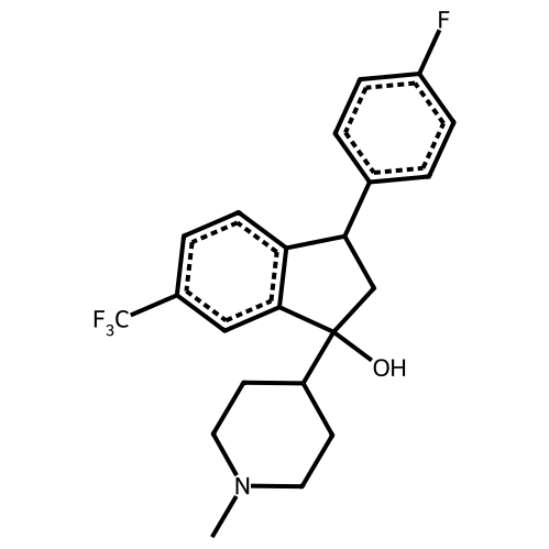 CN1CCC(C2(O)CC(c3ccc(F)cc3)c3ccc(C(F)(F)F)cc32)CC1